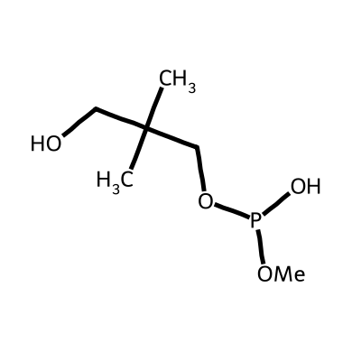 COP(O)OCC(C)(C)CO